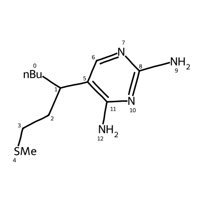 CCCCC(CCSC)c1cnc(N)nc1N